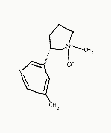 Cc1cncc([C@@H]2CCC[N+]2(C)[O-])c1